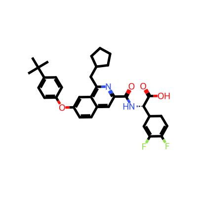 CC(C)(C)c1ccc(Oc2ccc3cc(C(=O)N[C@H](C(=O)O)C4C=C(F)C(F)=CC4)nc(CC4CCCC4)c3c2)cc1